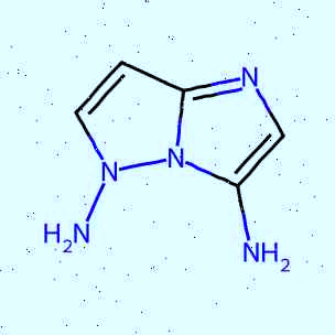 Nc1cnc2ccn(N)n12